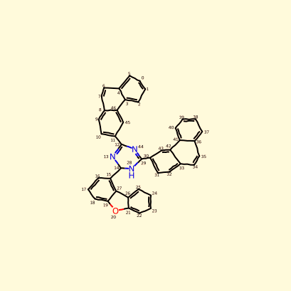 c1ccc2c(c1)ccc1ccc(C3=NC(c4cccc5oc6ccccc6c45)NC(c4ccc5ccc6ccccc6c5c4)=N3)cc12